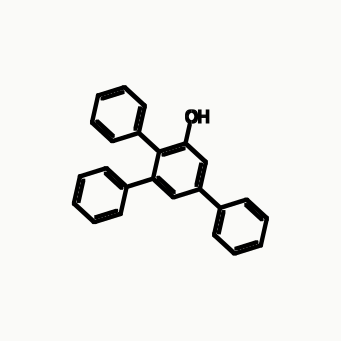 Oc1cc(-c2ccccc2)cc(-c2ccccc2)c1-c1ccccc1